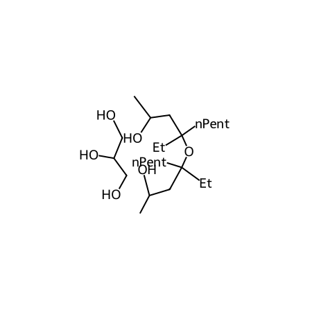 CCCCCC(CC)(CC(C)O)OC(CC)(CCCCC)CC(C)O.OCC(O)CO